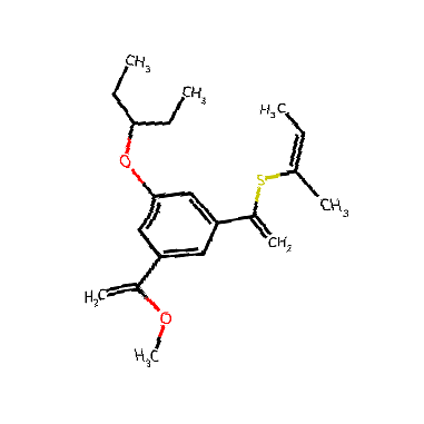 C=C(OC)c1cc(OC(CC)CC)cc(C(=C)S/C(C)=C\C)c1